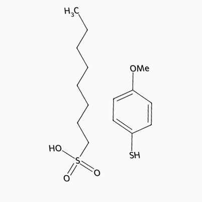 CCCCCCCCS(=O)(=O)O.COc1ccc(S)cc1